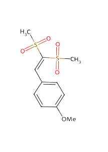 COc1ccc(C=C(S(C)(=O)=O)S(C)(=O)=O)cc1